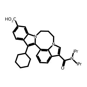 CC(C)N(C(=O)c1cn2c3c(cccc13)-c1c(C3CCCCC3)c3ccc(C(=O)O)cc3n1CCC2)C(C)C